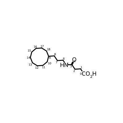 O=C(O)CCC(=O)NCCCC1CCCCCCCCC1